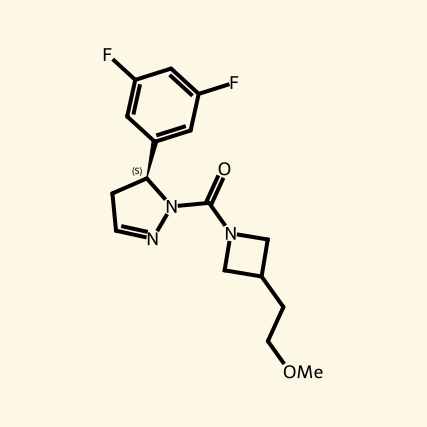 COCCC1CN(C(=O)N2N=CC[C@H]2c2cc(F)cc(F)c2)C1